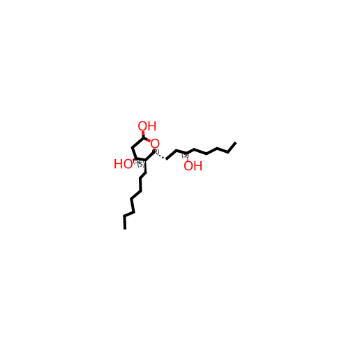 CCCCCCC[C@H]1[C@@H](O)CC(O)O[C@@H]1CC[C@@H](O)CCCCC